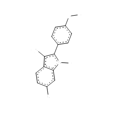 CCOc1ccc(-c2c(N)c3ccc(N)cc3n2CC)cc1